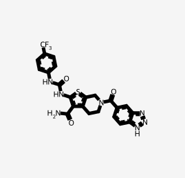 NC(=O)c1c(NC(=O)Nc2ccc(C(F)(F)F)cc2)sc2c1CCN(C(=O)c1ccc3[nH]nnc3c1)C2